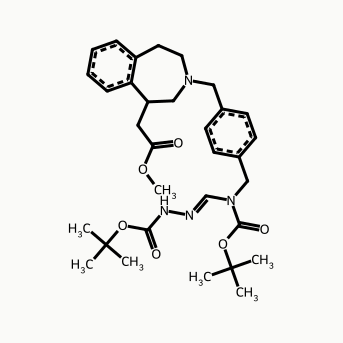 COC(=O)CC1CN(Cc2ccc(CN(C=NNC(=O)OC(C)(C)C)C(=O)OC(C)(C)C)cc2)CCc2ccccc21